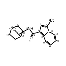 CCc1cc(C(=O)NC2CN3CCC2CC3)c2ccccn12